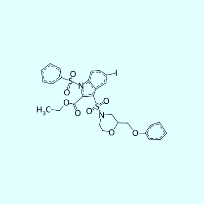 CCOC(=O)c1c(S(=O)(=O)N2CCOC(COc3ccccc3)C2)c2cc(I)ccc2n1S(=O)(=O)c1ccccc1